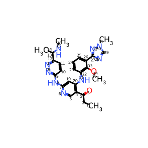 CCC(=O)c1cnc(Nc2ccc(C(C)NC)nn2)cc1Nc1cccc(-c2ncn(C)n2)c1OC